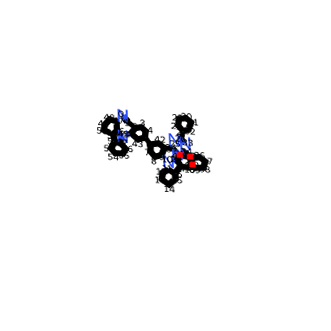 N#Cc1ccc(-c2ccc(-n3c4ccccc4c4ccccc43)c(-c3nc(-c4ccccc4)nc(-c4ccccc4)n3)c2)cc1-n1c2ccccc2c2ccccc21